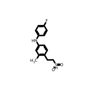 [CH2]c1cc(Nc2ccc(F)cc2)ccc1CC[SH](=O)=O